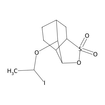 CC(I)OC1C2CCC3C1OS(=O)(=O)C3C2